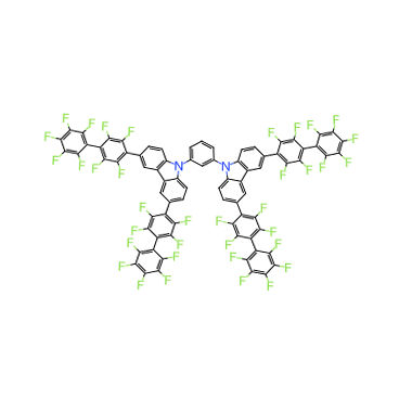 Fc1c(F)c(F)c(-c2c(F)c(F)c(-c3ccc4c(c3)c3cc(-c5c(F)c(F)c(-c6c(F)c(F)c(F)c(F)c6F)c(F)c5F)ccc3n4-c3cccc(-n4c5ccc(-c6c(F)c(F)c(-c7c(F)c(F)c(F)c(F)c7F)c(F)c6F)cc5c5cc(-c6c(F)c(F)c(-c7c(F)c(F)c(F)c(F)c7F)c(F)c6F)ccc54)c3)c(F)c2F)c(F)c1F